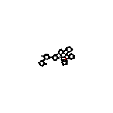 Cc1ccccc1-c1cc(-c2ccc3c(c2)c2ccc4c(c2n3-c2ccccc2)C2(c3ccccc3-c3ccccc32)c2ccccc2-4)ccc1C